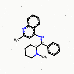 Cc1cc(N[C@@H](c2ccccc2)[C@@H]2CCCCN2C)c2ccccc2n1